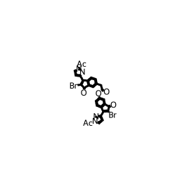 CC(=O)n1ccc(C2=C(Br)C(=O)c3cc(CC(=O)Oc4ccc5c(c4)C(=O)C(Br)=C5c4ccn(C(C)=O)n4)ccc32)n1